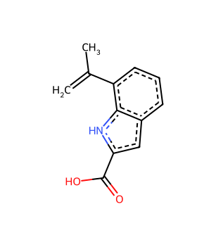 C=C(C)c1cccc2cc(C(=O)O)[nH]c12